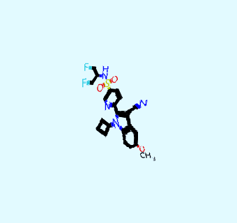 COc1ccc2c(c1)c(C#N)c(-c1ccc(S(=O)(=O)NC(CF)CF)cn1)n2C1CCC1